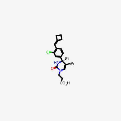 CC[C@@]1(c2ccc(C=C3CCC3)c(Cl)c2)NC(=O)N(CCC(=O)O)C=C1C(C)C